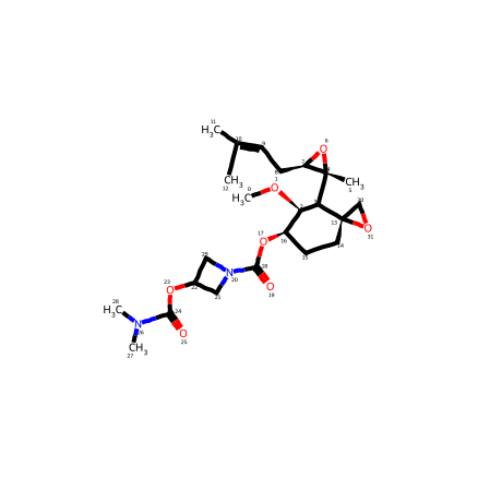 CO[C@H]1C([C@@]2(C)O[C@@H]2CC=C(C)C)[C@]2(CC[C@H]1OC(=O)N1CC(OC(=O)N(C)C)C1)CO2